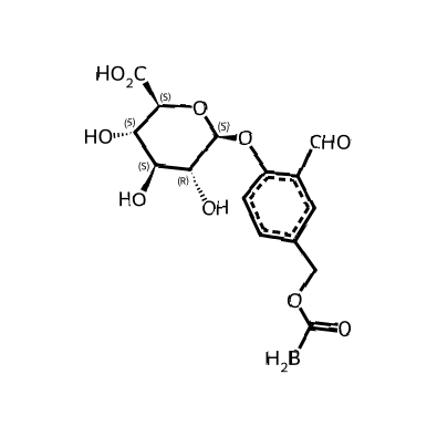 BC(=O)OCc1ccc(O[C@@H]2O[C@H](C(=O)O)[C@@H](O)[C@H](O)[C@H]2O)c(C=O)c1